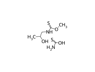 COC(=S)NCC(C)O.NC(O)=S